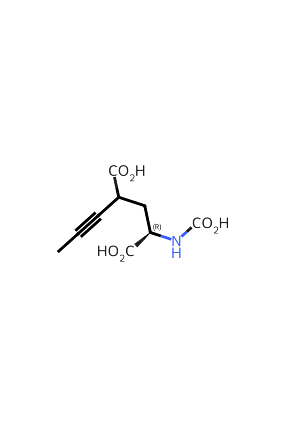 CC#CC(C[C@@H](NC(=O)O)C(=O)O)C(=O)O